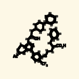 CC(=O)N1CCc2c(c(-c3ccc(C(F)(F)F)c(SCCN(Cc4ccccc4)C(=O)O)c3)nn2CC(O)CN2CCC(c3ccccn3)CC2)C1